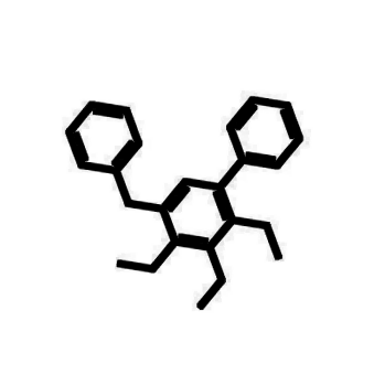 CCc1c(Cc2ccccc2)cc(-c2ccccc2)c(CC)c1CC